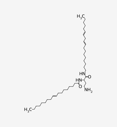 CCCCCC=CCC=CCCCCCCCCNC(=O)C(CCN)NC(=O)CCCCCCCC=CCCCCCCCC